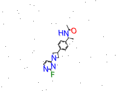 CC(=O)N[C@@H](C)c1ccc(C2CN(c3ccnc(F)n3)C2)cc1